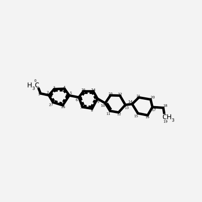 CCc1ccc(-c2ccc(C3=CCC(C4CCC(CC)CC4)CC3)cc2)cc1